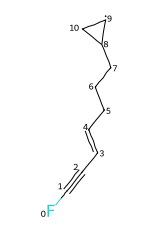 FC#CC=CCCCC1[CH]C1